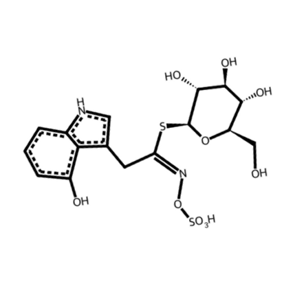 O=S(=O)(O)O/N=C(\Cc1c[nH]c2cccc(O)c12)S[C@@H]1O[C@H](CO)[C@@H](O)[C@H](O)[C@H]1O